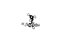 CN1CCN(C(=O)OC(C)(C)C)C(C(=O)c2cc3c(Cl)cc(Cl)cc3o2)C1